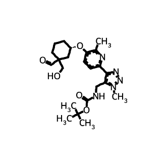 Cc1nc(-c2nnn(C)c2CNC(=O)OC(C)(C)C)ccc1O[C@H]1CCCC(C=O)(CO)C1